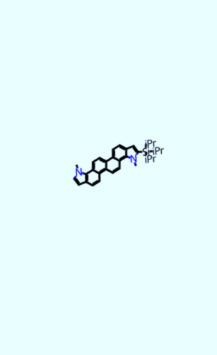 CC(C)[Si](c1cc2ccc3c4ccc5c(ccc6ccn(C)c65)c4ccc3c2n1C)(C(C)C)C(C)C